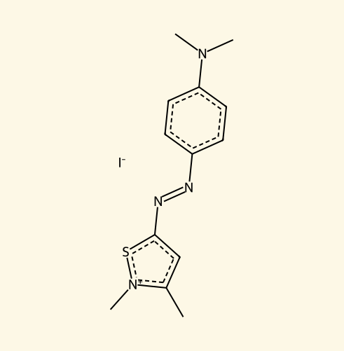 Cc1cc(N=Nc2ccc(N(C)C)cc2)s[n+]1C.[I-]